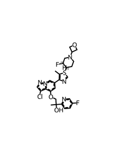 CC1=C(c2cc(OCC(C)(O)c3ccc(F)cn3)c3c(Cl)cnn3c2)N=C[SH]1[C@@H]1CCN(C2COC2)C[C@@H]1F